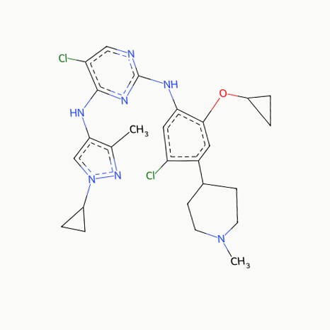 Cc1nn(C2CC2)cc1Nc1nc(Nc2cc(Cl)c(C3CCN(C)CC3)cc2OC2CC2)ncc1Cl